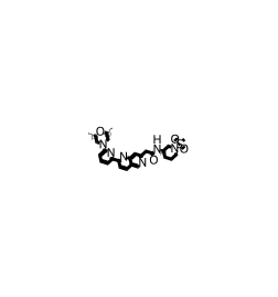 C[C@@H]1CN(c2cccc(-c3ccc4cnc(CC(=O)N[C@@H]5CCCN(S(C)(=O)=O)C5)cc4n3)n2)C[C@H](C)O1